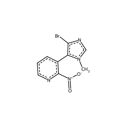 Cn1cnc(Br)c1-c1cccnc1[N+](=O)[O-]